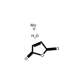 O.O=C1C=CC(=O)O1.[Mo].[V]